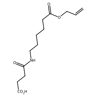 C=CCOC(=O)CCCCCNC(=O)CCC(=O)O